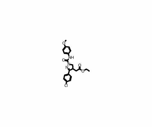 CCOC(=O)CC1CN(C(=O)Nc2ccc(OC)cc2)N=C1c1ccc(Cl)cc1